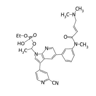 CCOP(=O)(O)OC(C)n1cc(-c2ccnc(C#N)c2)c2cc(-c3cccc(N(C)C(=O)/C=C/CN(C)C)c3)cnc21